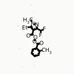 CCc1c(C(=O)OOC(=O)c2ccccc2C)c(C(F)F)nn1C